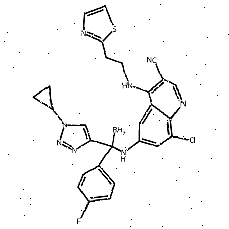 BC(Nc1cc(Cl)c2ncc(C#N)c(NCCc3nccs3)c2c1)(c1ccc(F)cc1)c1cn(C2CC2)nn1